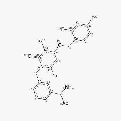 CC(=O)C(N)c1cccc(Cn2c(C)cc(OCc3ccc(F)cc3F)c(Br)c2=O)c1